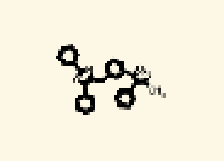 Cc1noc(-c2cccc(Cc3nc(-c4ccccc4)oc3-c3ccccc3)c2)c1-c1ccccc1